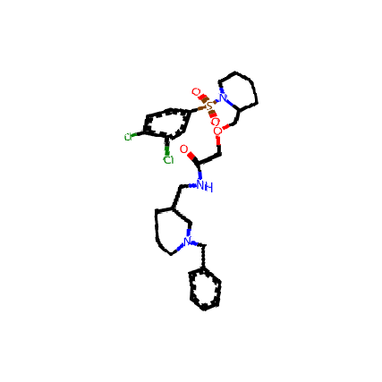 O=C(COCC1CCCCN1S(=O)(=O)c1ccc(Cl)c(Cl)c1)NCC1CCCN(Cc2ccccc2)C1